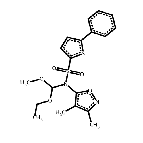 CCOC(OC)N(c1onc(C)c1C)S(=O)(=O)c1ccc(-c2ccccc2)s1